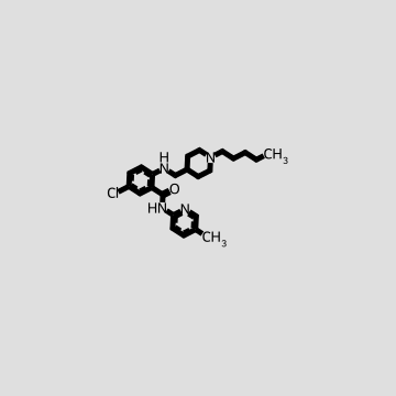 CCCCCN1CCC(CNc2ccc(Cl)cc2C(=O)Nc2ccc(C)cn2)CC1